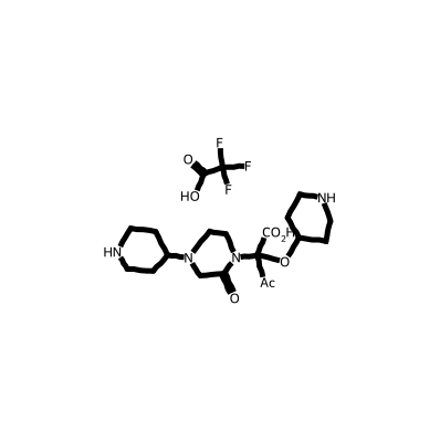 CC(=O)C(OC1CCNCC1)(C(=O)O)N1CCN(C2CCNCC2)CC1=O.O=C(O)C(F)(F)F